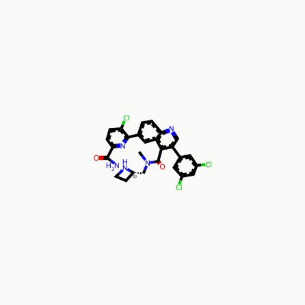 CN(C[C@@H]1CCN1)C(=O)c1c(-c2cc(Cl)cc(Cl)c2)cnc2ccc(-c3nc(C(N)=O)ccc3Cl)cc12